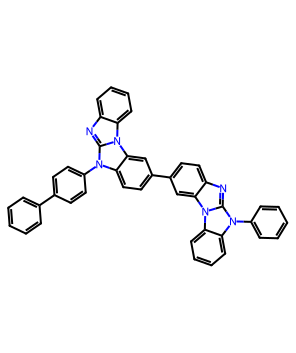 c1ccc(-c2ccc(-n3c4ccc(-c5ccc6nc7n(-c8ccccc8)c8ccccc8n7c6c5)cc4n4c5ccccc5nc34)cc2)cc1